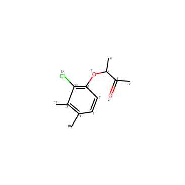 CC(=O)C(C)Oc1ccc(C)c(C)c1Cl